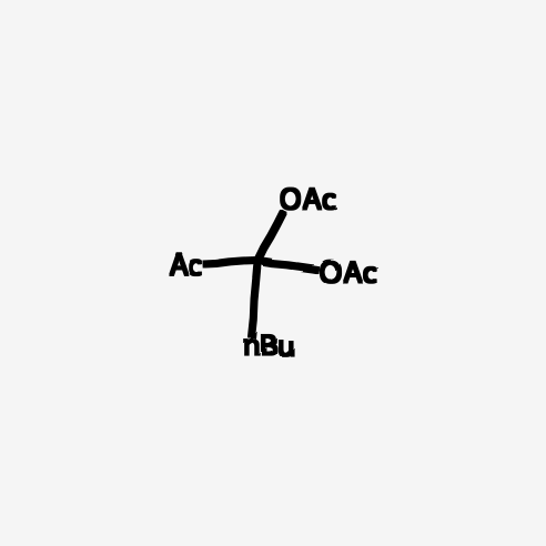 CCCCC(OC(C)=O)(OC(C)=O)C(C)=O